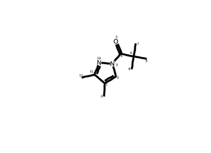 Cc1cn(C(=O)C(C)(C)C)nc1C